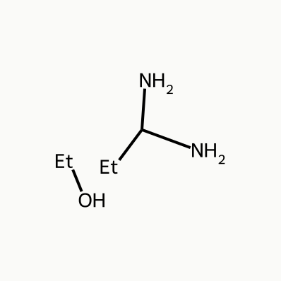 CCC(N)N.CCO